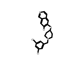 Clc1cc(Cl)cc(CN2CCC(Sc3cc4ccncc4cc3Cl)CC2)c1